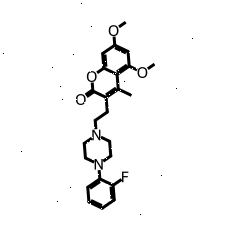 COc1cc(OC)c2c(C)c(CCN3CCN(c4ccccc4F)CC3)c(=O)oc2c1